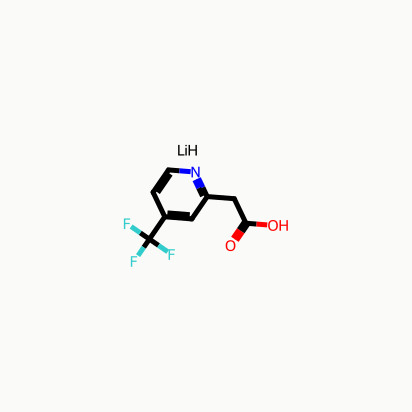 O=C(O)Cc1cc(C(F)(F)F)ccn1.[LiH]